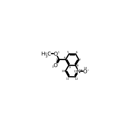 COC(=O)c1cccc2c1ccc[n+]2[O-]